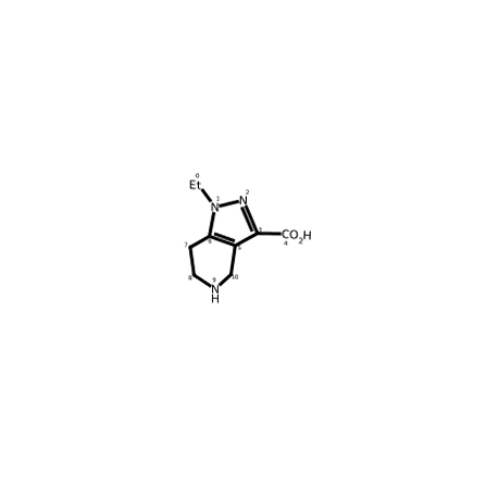 CCn1nc(C(=O)O)c2c1CCNC2